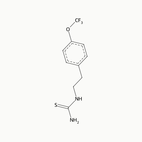 NC(=S)NCCc1ccc(OC(F)(F)F)cc1